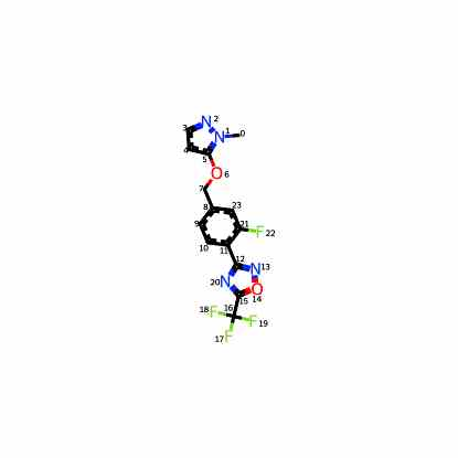 Cn1nccc1OCc1ccc(-c2noc(C(F)(F)F)n2)c(F)c1